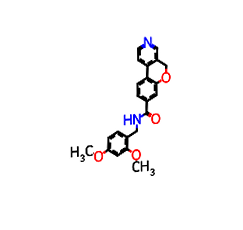 COc1ccc(CNC(=O)c2ccc3c(c2)OCc2cnccc2-3)c(OC)c1